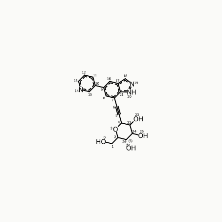 OCC1OC(C#Cc2cc(-c3cccnc3)cc3cn[nH]c23)C(O)C(O)[C@@H]1O